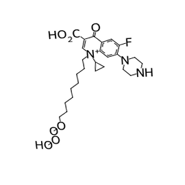 O=C(O)C1=C[N+](CCCCCCCCCOOOO)(C2CC2)c2cc(N3CCNCC3)c(F)cc2C1=O